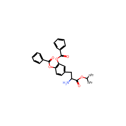 CCCC(CCC)OC(=O)C(N)Cc1ccc(OC(=O)c2ccccc2)c(OC(=O)c2ccccc2)c1